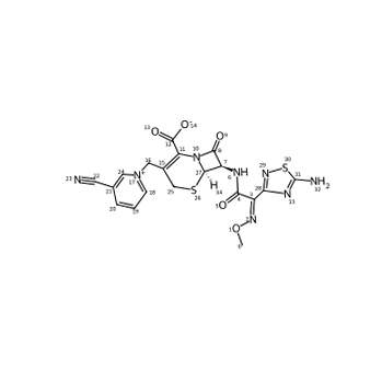 CO/N=C(\C(=O)N[C@@H]1C(=O)N2C(C(=O)[O-])=C(C[n+]3cccc(C#N)c3)CS[C@H]12)c1nsc(N)n1